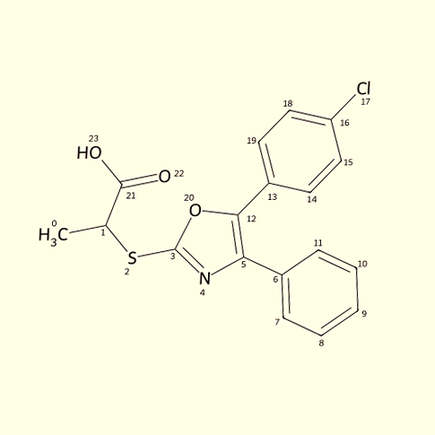 CC(Sc1nc(-c2ccccc2)c(-c2ccc(Cl)cc2)o1)C(=O)O